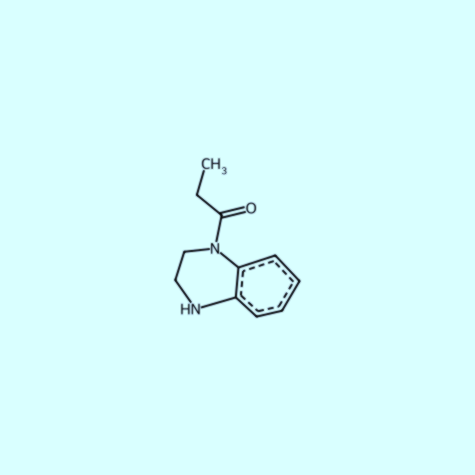 CCC(=O)N1CCNc2ccccc21